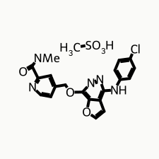 CNC(=O)c1cc(COc2nnc(Nc3ccc(Cl)cc3)c3ccoc23)ccn1.CS(=O)(=O)O